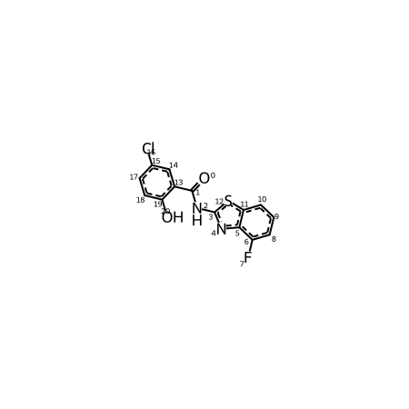 O=C(Nc1nc2c(F)cccc2s1)c1cc(Cl)ccc1O